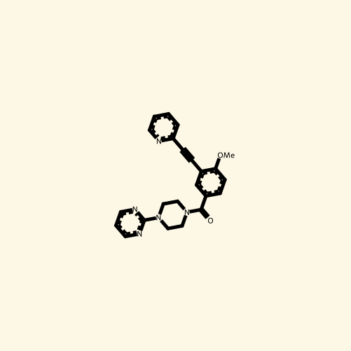 COc1ccc(C(=O)N2CCN(c3ncccn3)CC2)cc1C#Cc1ccccn1